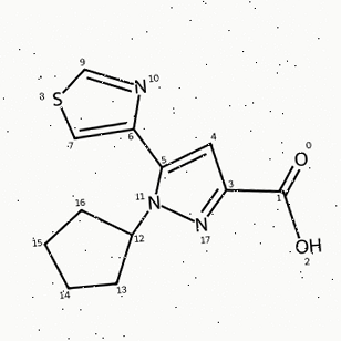 O=C(O)c1cc(-c2cscn2)n(C2CCCC2)n1